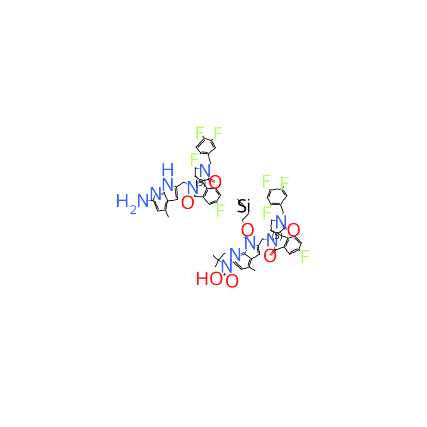 Cc1cc(N(C(=O)O)C(C)(C)C)nc2c1cc(CN1C(=O)c3cc(F)ccc3[C@]13CCN(Cc1cc(F)c(F)cc1F)C3=O)n2COCC[Si](C)(C)C.Cc1cc(N)nc2[nH]c(CN3C(=O)c4cc(F)ccc4[C@]34CCN(Cc3cc(F)c(F)cc3F)C4=O)cc12